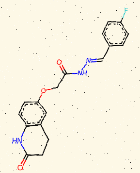 O=C(COc1ccc2c(c1)CCC(=O)N2)N/N=C/c1ccc(F)cc1